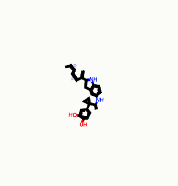 C=C(/C=C\C=C/C)C1Cc2cc(NC(=C)C3(c4ccc(O)c(O)c4)CC3)ccc2N1